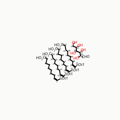 CCCCCCCC/C=C\CCCCCCCC(=O)O.CCCCCCCC/C=C\CCCCCCCC(=O)O.CCCCCCCC/C=C\CCCCCCCC(=O)O.CCCCCCCC/C=C\CCCCCCCC(=O)O.O=C[C@H](O)[C@@H](O)[C@H](O)[C@H](O)CO